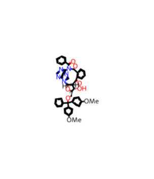 COc1ccc(C(OC[C@H]2O[C@@H]3[C@H](C(=O)c4ccccc4C(=O)N(C(=O)c4ccccc4)c4ncnc5c4ncn53)[C@@H]2O)(c2ccccc2)c2ccc(OC)cc2)cc1